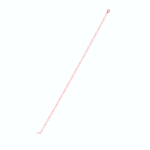 B=B\B=B/B=B\B=B/B=B\B=B/B=B\B=B/B=B\B=B/B=B\B=B/B=B\B=B/B=B\B=B/B=B\B=O